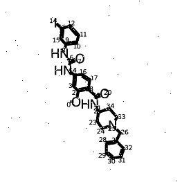 COc1cc(NC(=O)Nc2cccc(I)c2)ccc1C(=O)NC1CCN(Cc2ccccc2)CC1